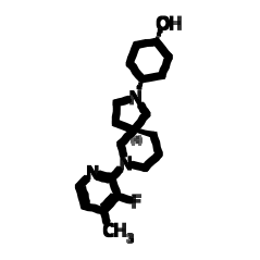 Cc1ccnc(N2CCC[C@]3(CCN([C@H]4CC[C@@H](O)CC4)C3)C2)c1F